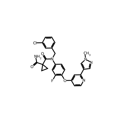 Cn1cc(-c2cc(Oc3ccc(N(Cc4cccc(Cl)c4)C(=O)C4(C(N)=O)CC4)cc3F)ccn2)cn1